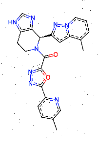 Cc1ccc(-c2nnc(C(=O)N3CCc4[nH]cnc4[C@H]3c3cc4c(C)cccn4n3)o2)nc1